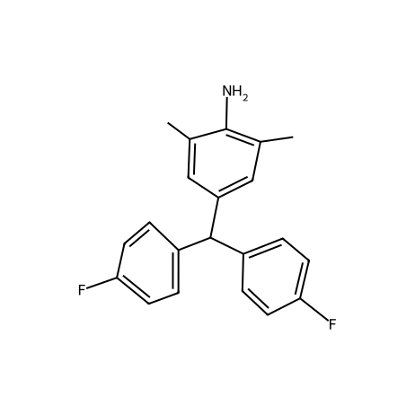 Cc1cc(C(c2ccc(F)cc2)c2ccc(F)cc2)cc(C)c1N